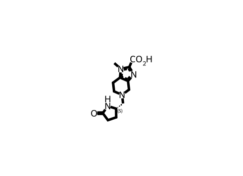 Cn1c(C(=O)O)nc2c1CCN(C[C@@H]1CCC(=O)N1)C2